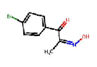 C/C(=N/O)C(=O)c1ccc(Br)cc1